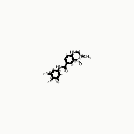 CN1CNc2ccc(C(=O)Nc3cc(F)c(F)c(F)c3)cc2[S+]1[O-]